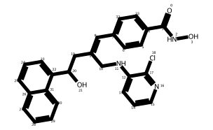 O=C(NO)c1ccc(C=C(CNc2cccnc2Cl)CC(O)c2cccc3ccccc23)cc1